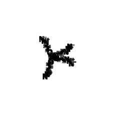 [N-]=[N+]=NCCCOCC(COCCCN=[N+]=[N-])(COCCCN=[N+]=[N-])COCCCN=[N+]=[N-]